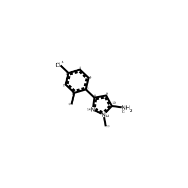 Cc1cc(Cl)ccc1-c1cc(N)n(C)n1